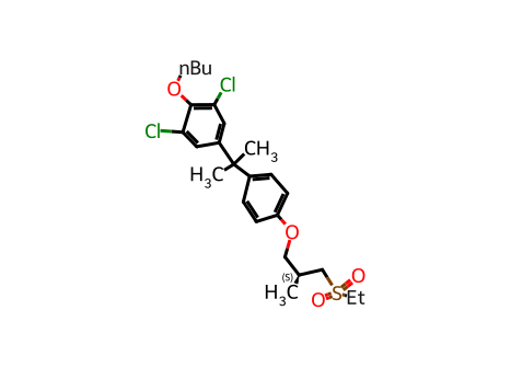 CCCCOc1c(Cl)cc(C(C)(C)c2ccc(OC[C@H](C)CS(=O)(=O)CC)cc2)cc1Cl